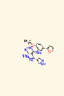 COc1ccc(-c2ccco2)cc1Nc1ncnc2[nH]nc(-c3cn[nH]c3)c12